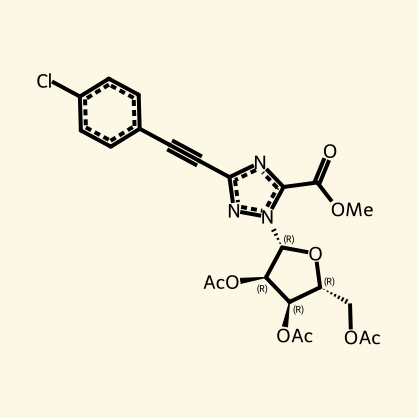 COC(=O)c1nc(C#Cc2ccc(Cl)cc2)nn1[C@@H]1O[C@H](COC(C)=O)[C@@H](OC(C)=O)[C@H]1OC(C)=O